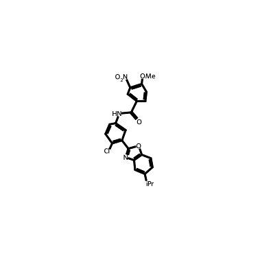 COc1ccc(C(=O)Nc2ccc(Cl)c(-c3nc4cc(C(C)C)ccc4o3)c2)cc1[N+](=O)[O-]